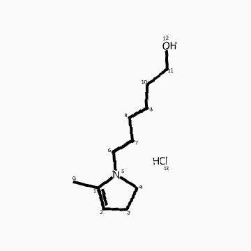 CC1=CCCN1CCCCCCO.Cl